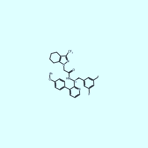 CC(C)Oc1ccc(-c2cccnc2[C@H](Cc2cc(F)cc(F)c2)NC(=O)Cn2nc(C(F)(F)F)c3c2CCCC3)cc1